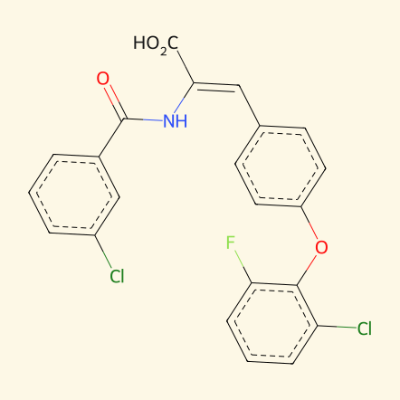 O=C(O)/C(=C/c1ccc(Oc2c(F)cccc2Cl)cc1)NC(=O)c1cccc(Cl)c1